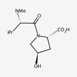 CN[C@H](C(=O)N1C[C@H](O)C[C@H]1C(=O)O)C(C)C